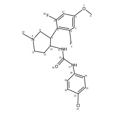 COc1cc(F)c(C2CN(C)CCC2NC(=O)Nc2ccc(Cl)cc2)c(F)c1